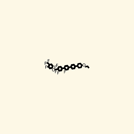 CCCOC1CCC(c2ccc(-c3ccc(-c4cc(F)c(C(F)(F)Oc5ccc(C(F)F)c(F)c5)c(F)c4)c(F)c3)cc2)CC1